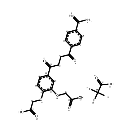 N=C(N)c1ccc(C(=O)CCC(=O)c2ccc(OCC(=O)O)c(OCC(=O)O)c2)cc1.O=C(O)C(F)(F)F